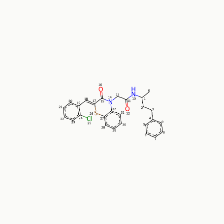 CC(CCc1ccccc1)NC(=O)CN1C(=O)C(=Cc2ccccc2Cl)Sc2ccccc21